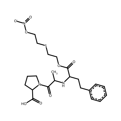 CC(NC(CCc1ccccc1)C(=O)OCCSCCO[N+](=O)[O-])C(=O)N1CCCC1C(=O)O